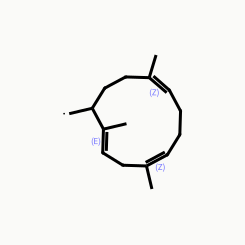 [CH2]C1CC/C(C)=C\CC/C=C(/C)C/C=C/1C